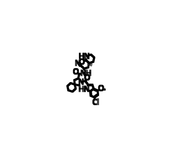 COc1cc(Cl)cc2[nH]c(C(=O)N3CC4(CCCCC4)CC3C(=O)NC(C#N)C[C@@H]3CCCNC3=O)cc12